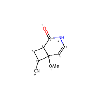 COC12C=CNC(=O)C1CC2C#N